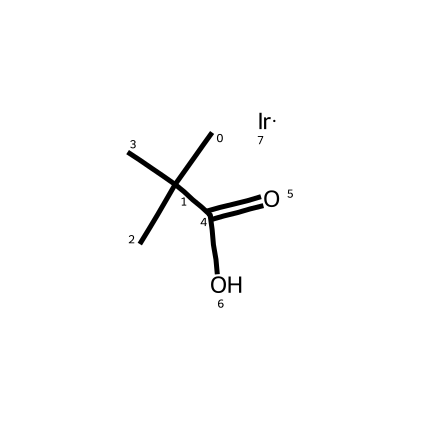 CC(C)(C)C(=O)O.[Ir]